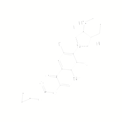 O=C(Oc1c[nH]c2c(Cl)c(N3C[C@@H]4CCCN[C@@H]4C3)c(F)cc2c1=O)OC1CC1